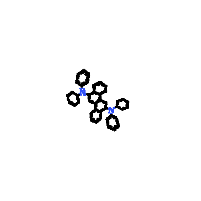 C1=CCCC(N(c2ccccc2)c2cc3c4ccccc4c(N(c4ccccc4)c4ccccc4)cc3c3ccccc23)=C1